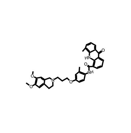 COc1cc2c(cc1OC)CN(CCCOc1ccc(NC(=O)c3cccc4c(=O)c5cccc(C)c5[nH]c34)c(C)c1)CC2